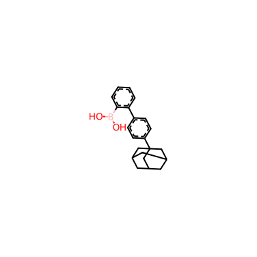 OB(O)c1ccccc1-c1ccc(C23CC4CC(CC(C4)C2)C3)cc1